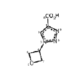 O=C(O)c1cn(C2COC2)nn1